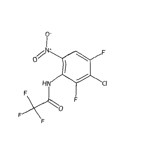 O=C(Nc1c([N+](=O)[O-])cc(F)c(Cl)c1F)C(F)(F)F